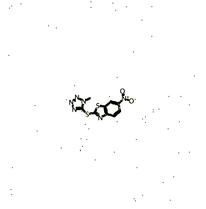 Cn1nnnc1Sc1nc2ccc([N+](=O)[O-])cc2s1